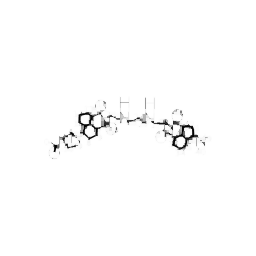 CC(=O)N1CCN(c2ccc3c4c(cccc24)C(=O)N(CCNCCCNCCN2C(=O)c4cccc5c(N(C)C)ccc(c45)C2=O)C3=O)CC1